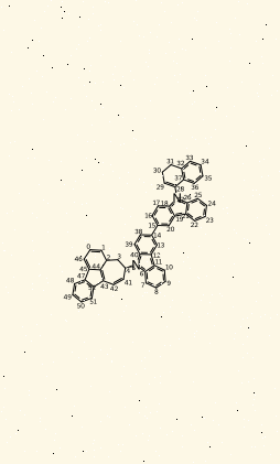 C1=CC2C[C@@H](n3c4ccccc4c4cc(-c5ccc6c(c5)c5ccccc5n6C5=CCCc6ccccc65)ccc43)C=CC3=C2C(=C1)c1ccccc13